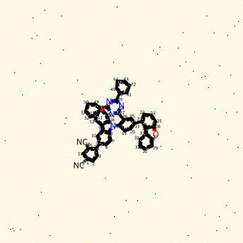 N#Cc1ccc(-c2ccc3c(c2)c2ccccc2n3-c2ccc(-c3cccc4oc5ccccc5c34)cc2-c2nc(-c3ccccc3)nc(-c3ccccc3)n2)c(C#N)c1